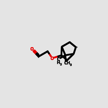 CC1(C)C2[CH]CC1C(OC[C]=O)C2